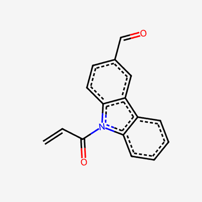 C=CC(=O)n1c2ccccc2c2cc(C=O)ccc21